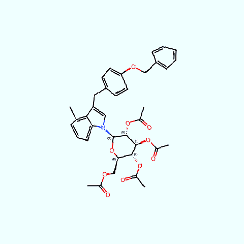 CC(=O)OC[C@H]1O[C@@H](n2cc(Cc3ccc(OCc4ccccc4)cc3)c3c(C)cccc32)[C@H](OC(C)=O)[C@@H](OC(C)=O)[C@@H]1OC(C)=O